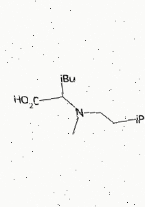 CCC(C)C(C(=O)O)N(C)CCC(C)C